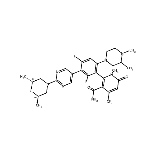 CC1CN(c2cc(F)c(-c3cnc(N4C[C@@H](C)O[C@H](C)C4)nc3)c(F)c2-c2c(C(N)=O)c(C(F)(F)F)cc(=O)n2C)CCN1C